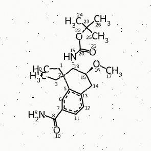 CCC1(CC)c2cc(C(N)=O)ccc2C[C@H](OC)[C@H]1NC(=O)OC(C)(C)C